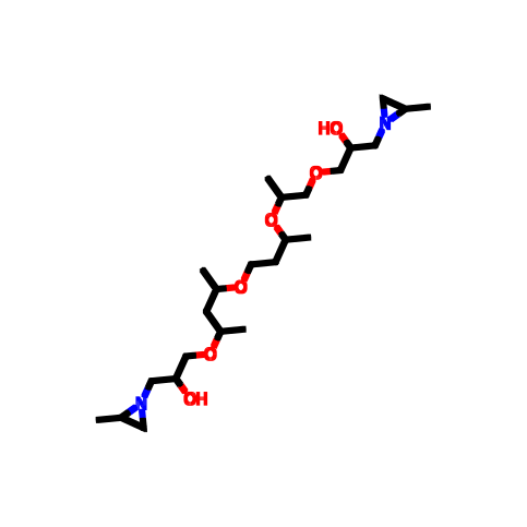 CC(CC(C)OCC(O)CN1CC1C)OCCC(C)OC(C)COCC(O)CN1CC1C